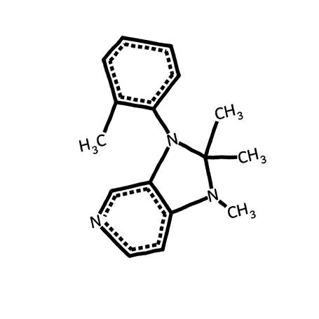 Cc1ccccc1N1c2cnccc2N(C)C1(C)C